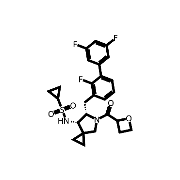 O=C(C1CCO1)N1CC2(CC2)[C@H](NS(=O)(=O)C2CC2)[C@@H]1Cc1cccc(-c2cc(F)cc(F)c2)c1F